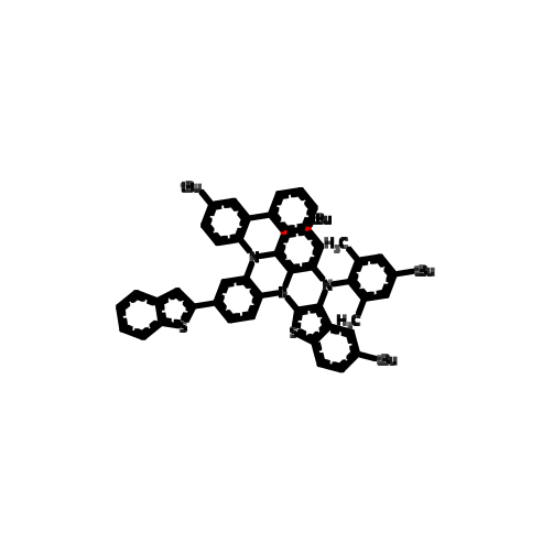 Cc1cc(C(C)(C)C)cc(C)c1N1c2cc(C(C)(C)C)cc3c2B(c2ccc(-c4cc5ccccc5s4)cc2N3c2ccc(C(C)(C)C)cc2-c2ccccc2)c2sc3ccc(C(C)(C)C)cc3c21